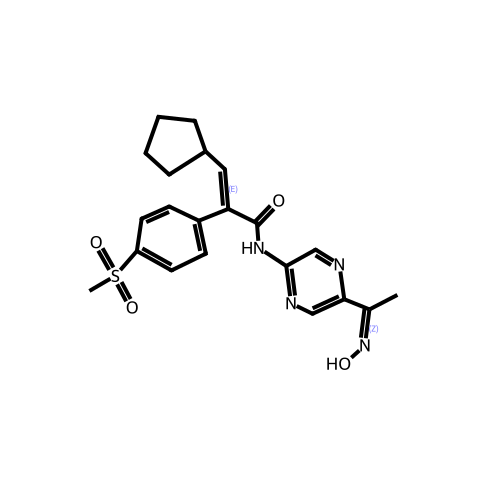 C/C(=N/O)c1cnc(NC(=O)/C(=C/C2CCCC2)c2ccc(S(C)(=O)=O)cc2)cn1